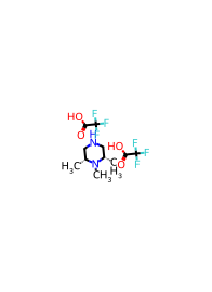 C[C@@H]1CNC[C@H](C)N1C.O=C(O)C(F)(F)F.O=C(O)C(F)(F)F